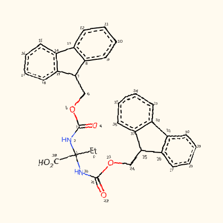 CCC(NC(=O)OCC1c2ccccc2-c2ccccc21)(NC(=O)OCC1c2ccccc2-c2ccccc21)C(=O)O